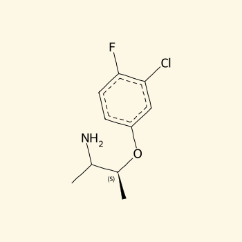 CC(N)[C@H](C)Oc1ccc(F)c(Cl)c1